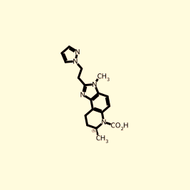 C[C@H]1CCc2c(ccc3c2nc(CCn2cccn2)n3C)N1C(=O)O